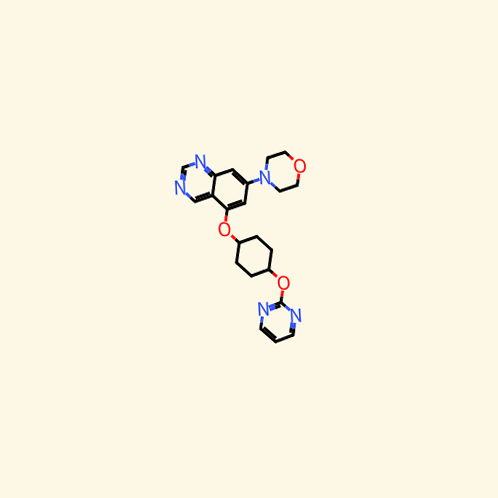 c1cnc(OC2CCC(Oc3cc(N4CCOCC4)cc4ncncc34)CC2)nc1